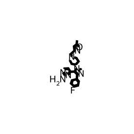 Cc1cc(CN2CCC(n3cnc(-c4ccc(F)cc4)c3-c3ccnc(N)n3)CC2)no1